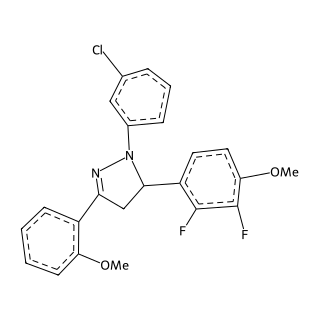 COc1ccccc1C1=NN(c2cccc(Cl)c2)C(c2ccc(OC)c(F)c2F)C1